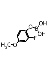 COc1ccc(OB(O)O)c(F)c1